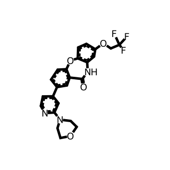 O=C1Nc2cc(OCC(F)(F)F)ccc2Oc2ccc(-c3ccnc(N4CCOCC4)c3)cc21